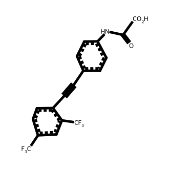 O=C(O)C(=O)Nc1ccc(C#Cc2ccc(C(F)(F)F)cc2C(F)(F)F)cc1